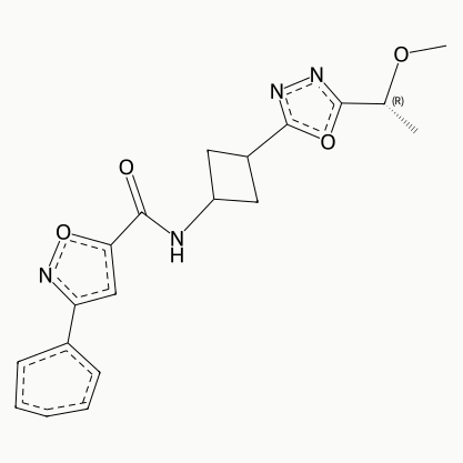 CO[C@H](C)c1nnc(C2CC(NC(=O)c3cc(-c4ccccc4)no3)C2)o1